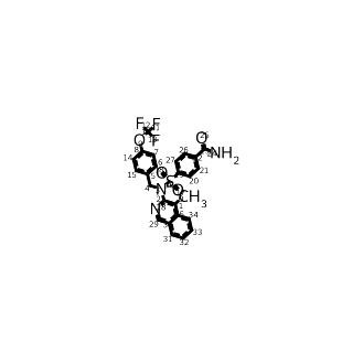 Cc1c(N(Cc2ccc(OC(F)(F)F)cc2)S(=O)(=O)c2ccc(C(N)=O)cc2)ncc2ccccc12